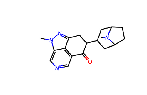 CN1C2CCC1CC(C1Cc3nn(C)c4cncc(c34)C1=O)C2